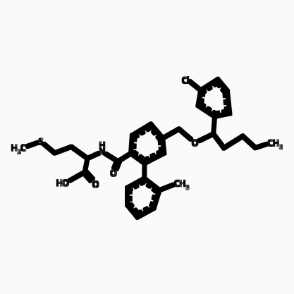 CCCCC(OCc1ccc(C(=O)NC(CCSC)C(=O)O)c(-c2ccccc2C)c1)c1cccc(Cl)c1